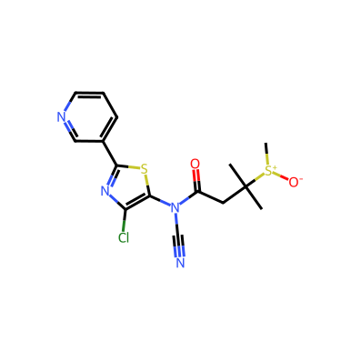 C[S+]([O-])C(C)(C)CC(=O)N(C#N)c1sc(-c2cccnc2)nc1Cl